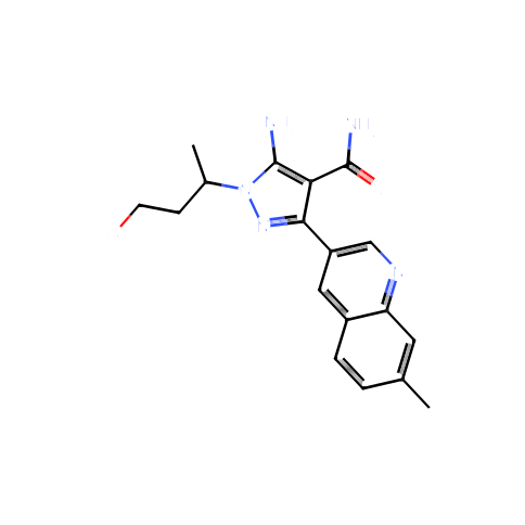 Cc1ccc2cc(-c3nn(C(C)CCO)c(N)c3C(N)=O)cnc2c1